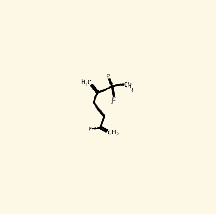 C=C(F)CCC(=C)C(C)(F)F